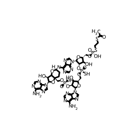 CC(=O)SCCSP(=O)(O)OC[C@H]1O[C@@H](n2cnc3c(N)ncnc32)[C@@H](OP(=O)(S)OC[C@H]2O[C@@H](n3cnc4c(N)ncnc43)[C@@H](OP(=O)(O)OC[C@]34CCCOC3[C@H](O)[C@H](n3cnc5c(N)ncnc53)O4)C2O)C1O